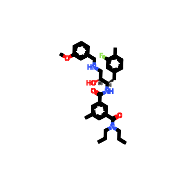 CCCN(CCC)C(=O)c1cc(C)cc(C(=O)N[C@@H](Cc2ccc(C)c(F)c2)[C@H](O)CNCc2cccc(OC)c2)c1